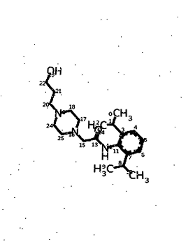 CC(C)c1cccc(C(C)C)c1NC(=O)CN1CCN(CCCO)CC1